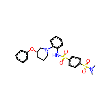 CN(C)S(=O)(=O)c1ccc(S(=O)(=O)Nc2ccccc2N2CCC[C@@H](Oc3ccccc3)C2)cc1